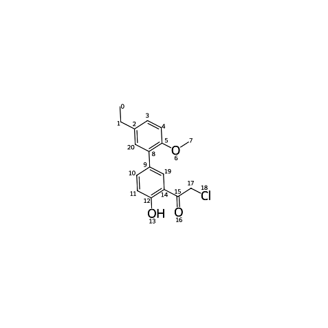 CCc1ccc(OC)c(-c2ccc(O)c(C(=O)CCl)c2)c1